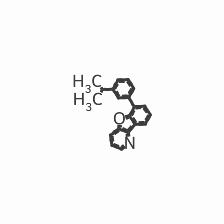 CC(C)c1cccc(-c2cccc3c2oc2cccnc23)c1